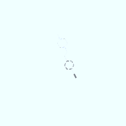 C#Cc1ccc(CCN2CCN(C)CC2)cc1